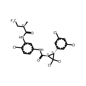 C[C@H](CC(F)(F)F)C(=O)Nc1cc(NC(=O)[C@H]2[C@H](c3cc(Cl)cc(Cl)c3)C2(Cl)Cl)ccc1Cl